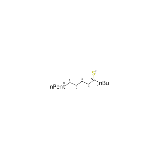 CCCCCCCCCC([S])CCCC